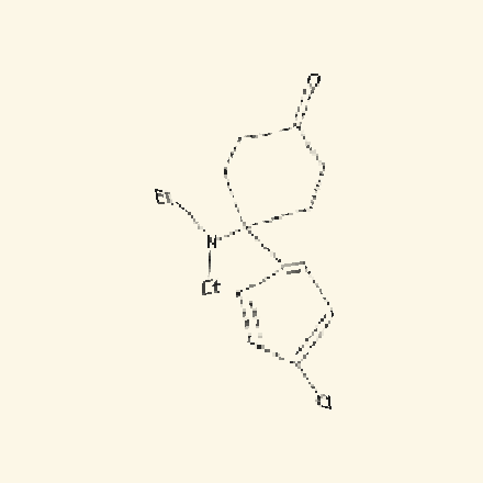 CCN(CC)C1(c2ccc(Cl)cc2)CCC(=O)CC1